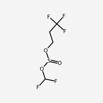 O=S(OCCC(F)(F)F)OC(F)F